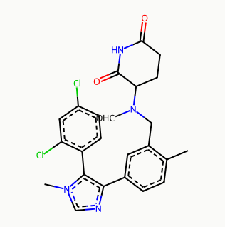 Cc1ccc(-c2ncn(C)c2-c2ccc(Cl)cc2Cl)cc1CN(C=O)C1CCC(=O)NC1=O